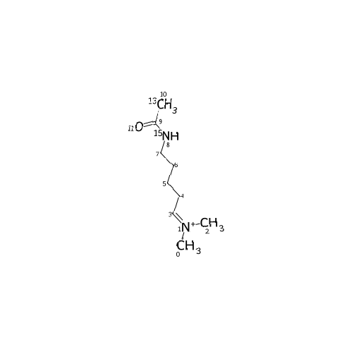 C[N+](C)=CCCCC[15NH]C([13CH3])=O